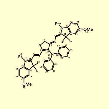 CCN1/C(=C/C=C2\CCC(/C=C/C3=[N+](CC)c4ccc(OC)cc4C3(C)C)=C2N(c2ccccc2)c2ccccc2)C(C)(C)c2cc(OC)ccc21